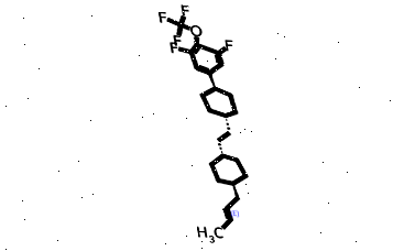 C/C=C/C[C@H]1CC[C@H](CC[C@H]2CC[C@H](c3cc(F)c(OC(F)(F)F)c(F)c3)CC2)CC1